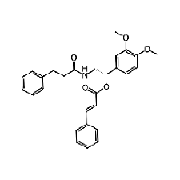 COc1ccc([C@@H](CNC(=O)CCc2ccccc2)OC(=O)/C=C/c2ccccc2)cc1OC